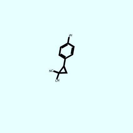 CC(C)c1ccc(C2CC2(C#N)C#N)cc1